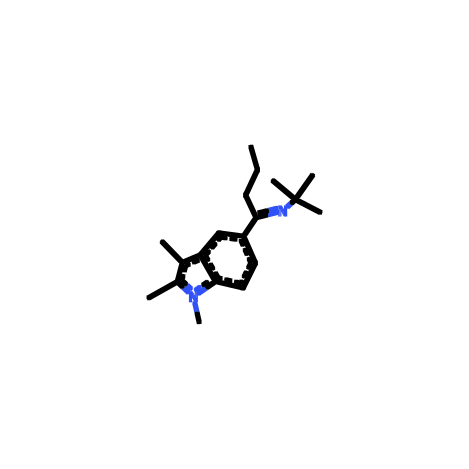 CCC/C(=N\C(C)(C)C)c1ccc2c(c1)c(C)c(C)n2C